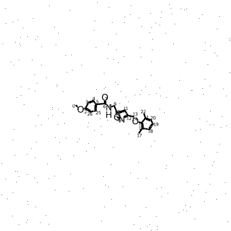 COc1ccc(C(=O)NCc2cc(COc3c(C)cccc3C)no2)cc1